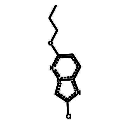 CCCOc1ccc2nc(Cl)cn2n1